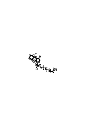 C=C(C=O)COCCOCCOC(C)Oc1ccc(F)c2c(=O)c3ccccc3sc12